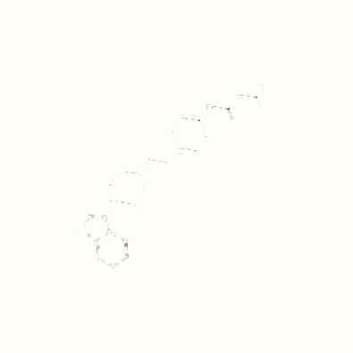 CC(C)CC(=O)NC1CCC(CCN2CCC(c3coc4ccccc34)CC2)CC1